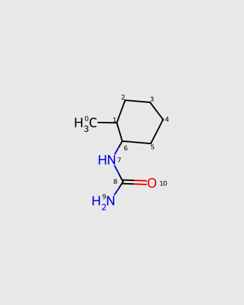 CC1CCCCC1NC(N)=O